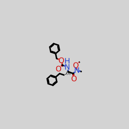 CON(C)C(=O)[C@H](CCc1ccccc1)NC(=O)OCc1ccccc1